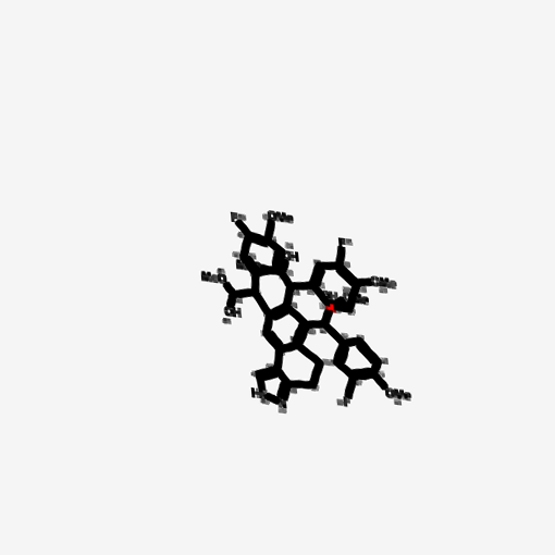 COc1ccc(C(c2cc3c(c(C(c4ccc(OC)c(F)c4)C(O)OC)c2C(c2ccc(OC)c(F)c2)C(O)OC)CCc2n[nH]cc2-3)C(O)OC)cc1F